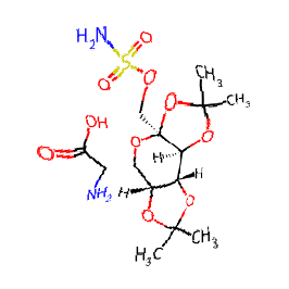 CC1(C)O[C@@H]2[C@@H](CO[C@@]3(COS(N)(=O)=O)OC(C)(C)O[C@@H]23)O1.NCC(=O)O